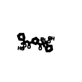 CC(C)C(OO)(c1ccccc1)C(C)(C)C(=O)c1cccc(C(=O)CC(C)(OO)c2ccccc2)c1